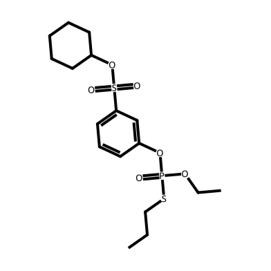 CCCSP(=O)(OCC)Oc1cccc(S(=O)(=O)OC2CCCCC2)c1